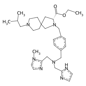 CCOC(=O)[C@H]1CC2(CCN(CC(C)C)CC2)CN1Cc1ccc(CN(Cc2ncc[nH]2)Cc2nccn2C)cc1